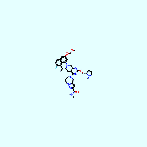 CCc1c(F)ccc2cc(OCOC)cc(N3CCc4c(nc(OC[C@@H]5CCCN5C)nc4N4CCCn5nc(C(=O)N(C)C)cc5C4)C3)c12